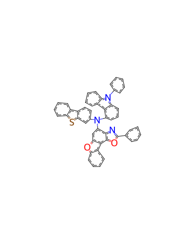 c1ccc(-c2nc3c(N(c4ccc5c(c4)sc4ccccc45)c4cccc5c4c4ccccc4n5-c4ccccc4)cc4oc5ccccc5c4c3o2)cc1